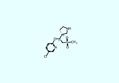 CS(=O)(=O)C[C@@H](Oc1ccc(Cl)cn1)[C@@H]1CCNC1